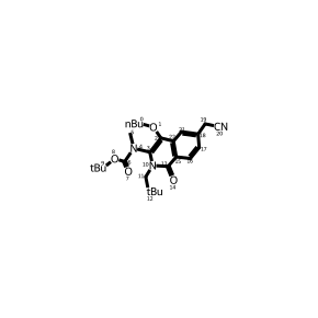 CCCCOc1c(N(C)C(=O)OC(C)(C)C)n(CC(C)(C)C)c(=O)c2ccc(CC#N)cc12